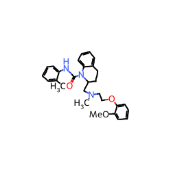 COc1ccccc1OCCN(C)CC1CCc2ccccc2N1C(=O)Nc1ccccc1C